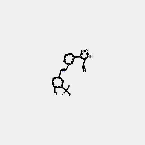 N#Cc1[nH]nnc1-c1cccc(/C=C/c2ccc(Cl)c(C(F)(F)F)c2)c1